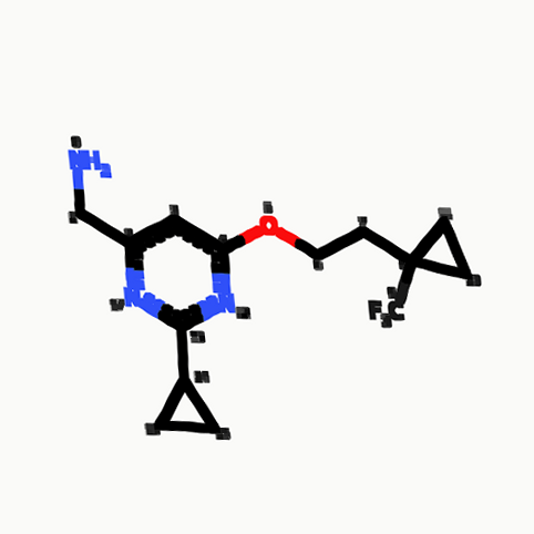 NCc1cc(OCCC2(C(F)(F)F)CC2)nc(C2CC2)n1